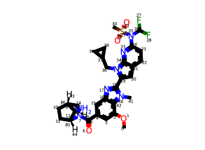 COc1cc(C(=O)N2C[C@H]3CC[C@@H]2[C@@H]3N)cc2nc(-c3cc4ccc(N(C(F)F)S(C)(=O)=O)nc4n3CC3CC3)n(C)c12